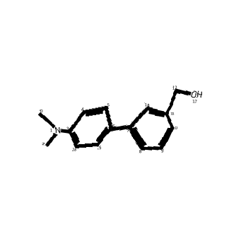 CN(C)c1ccc(-c2cccc(CO)c2)cc1